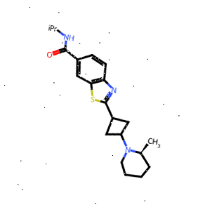 CC(C)NC(=O)c1ccc2nc(C3CC(N4CCCC[C@@H]4C)C3)sc2c1